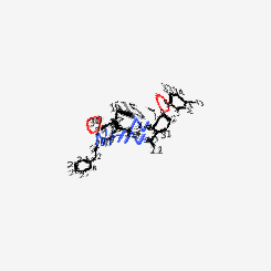 Cc1ccc(Oc2ccc(C(C)Nc3nccc4c3CN(CCc3ccccc3)C4=O)cc2)cc1